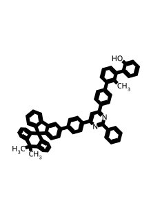 Cc1c(-c2ccc(-c3cc(-c4ccc(-c5ccc6c(c5)-c5ccccc5C65c6ccccc6C(C)(C)c6ccccc65)cc4)nc(-c4ccccc4)n3)cc2)cccc1-c1ccccc1O